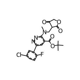 CN(CC1C(=O)COC1=O)c1nnc(-c2cc(Cl)ccc2F)cc1C(=O)OC(C)(C)C